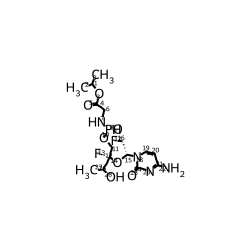 CC(C)OC(=O)CN[PH](=O)OC[C@@](F)(O[C@H](CF)n1ccc(N)nc1=O)[C@H](C)O